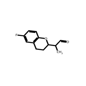 CC(C=O)C1CCc2cc(F)ccc2O1